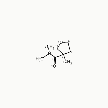 CN(C)C(=O)C1(C)CCOC1